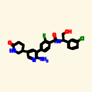 Nc1ncc(C2CCC(=O)NC2)cc1-c1ccc(C(=O)NC(CO)c2cccc(Cl)c2)c(F)c1